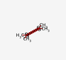 CCCCCCCC(CCCCCCC)N1C(=O)c2ccc3c4ccc5c6ccc7c8ccc9c%10ccc%11c%12ccc%13c%14ccc%15c%16c(ccc(c%17ccc(c%18ccc(c%19ccc(c%20ccc(c%21ccc(c%22ccc(c2c3%22)C1=O)c4c5%21)c6c7%20)c8c9%19)c%10c%11%18)c%12c%13%17)c%16%14)C(=O)N(C(CCCCCCC)CCCCCCC)C%15=O